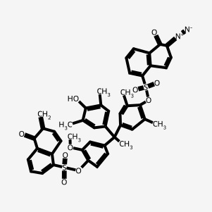 C=C1C=Cc2c(cccc2S(=O)(=O)Oc2ccc(C(C)(c3cc(C)c(O)c(C)c3)c3cc(C)c(OS(=O)(=O)c4cccc5c4C=CC(=[N+]=[N-])C5=O)c(C)c3)cc2OC)C1=O